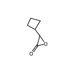 O=C1O[C]1C1CCC1